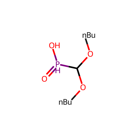 CCCCOC(OCCCC)[PH](=O)O